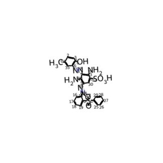 Cc1ccc(O)c(/N=N/c2c(N)c(/N=N/c3ccccc3S(=O)(=O)c3ccccc3)cc(S(=O)(=O)O)c2N)c1